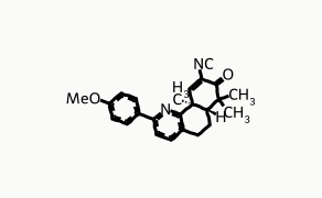 [C-]#[N+]C1=C[C@]2(C)c3nc(-c4ccc(OC)cc4)ccc3CC[C@H]2C(C)(C)C1=O